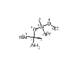 CCCCC(C)(N)O[Si](C)(CCC)OCC